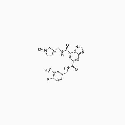 Cc1cc(CNC(=O)c2cc(C(=O)NC[C@@H]3CCN(Cl)C3)n3ncnc3n2)ccc1F